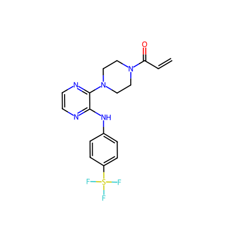 C=CC(=O)N1CCN(c2nccnc2Nc2ccc(S(F)(F)F)cc2)CC1